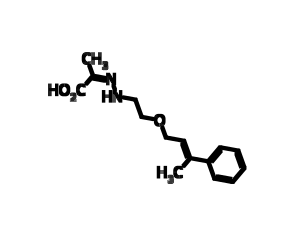 C/C(=N/NCCOC/C=C(\C)c1ccccc1)C(=O)O